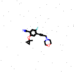 CC1(Oc2cc(C#CCN3CCOCC3)c(F)cc2C#N)CC1